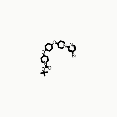 CC(C)(C)OC(=O)N1CCC(OC2CCC(OC3CCN(c4cc(Br)ccn4)CC3)CC2)CC1